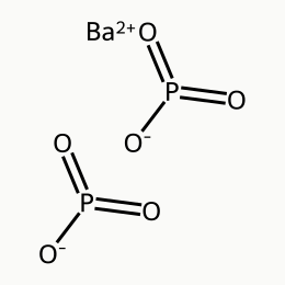 O=P(=O)[O-].O=P(=O)[O-].[Ba+2]